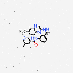 Cc1cncc(C(=O)Nc2cccc([C@H](C)Nc3cnc4cc(C(F)(F)F)ccc4n3)c2)c1